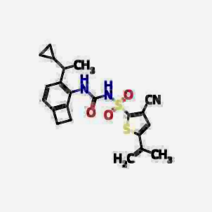 C=C(C)c1cc(C#N)c(S(=O)(=O)NC(=O)Nc2c(C(C)C3CC3)ccc3c2CC3)s1